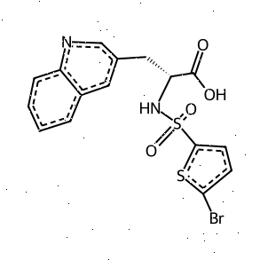 O=C(O)[C@@H](Cc1cnc2ccccc2c1)NS(=O)(=O)c1ccc(Br)s1